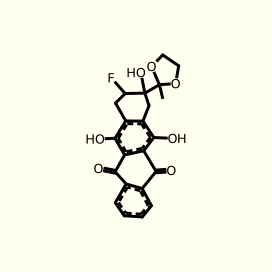 CC1(C2(O)Cc3c(O)c4c(c(O)c3CC2F)C(=O)c2ccccc2C4=O)OCCO1